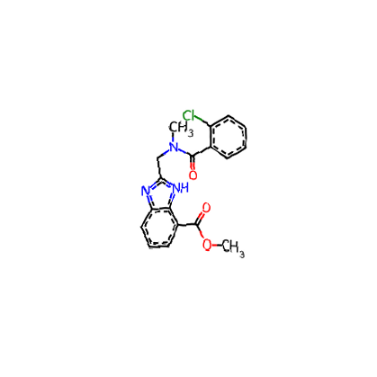 COC(=O)c1cccc2nc(CN(C)C(=O)c3ccccc3Cl)[nH]c12